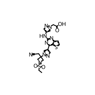 CCS(=O)(=O)N1CC(CC#N)(n2cc(-c3nc(Nc4cnn(CC(=O)O)c4)nc4ccsc34)cn2)C1